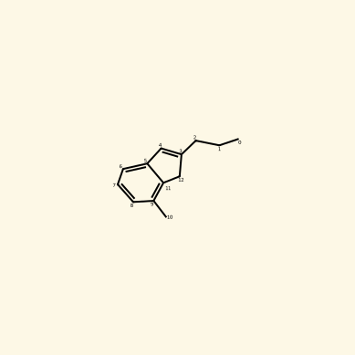 CCCC1=Cc2cccc(C)c2C1